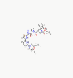 [2H]C([2H])([2H])c1cc(C(=O)N2CC[C@H]2C(=O)Nc2nc(-c3cccc(N4C[C@@H](C)O[C@@H](C)C4)n3)cs2)cn1S(C)(=O)=O